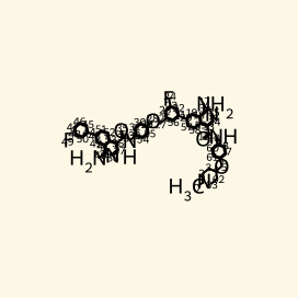 CN1CCC(Oc2ccc(NC(=O)c3cnc(N)c4cc(-c5cc(F)cc(COc6ccc(NC(=O)c7cnc(N)c8cc(-c9cccc(F)c9)ccc78)cc6)c5)ccc34)cc2)CC1